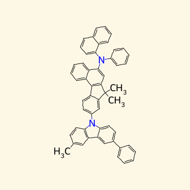 Cc1ccc2c(c1)c1cc(-c3ccccc3)ccc1n2-c1ccc2c(c1)C(C)(C)c1cc(N(c3ccccc3)c3cccc4ccccc34)c3ccccc3c1-2